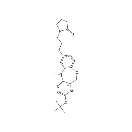 CN1C(=O)[C@@H](NC(=O)OC(C)(C)C)COc2ccc(OCCN3CCCC3=O)cc21